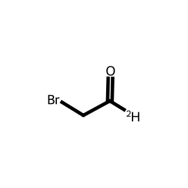 [2H]C(=O)CBr